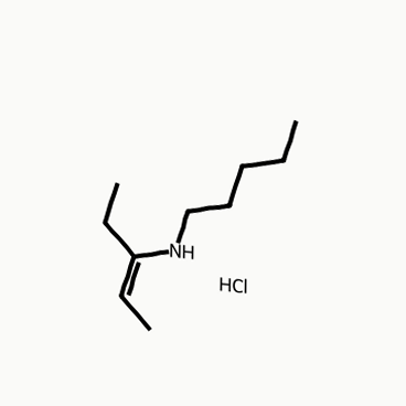 C/C=C(/CC)NCCCCC.Cl